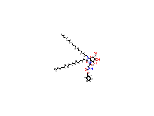 CCCCCCCCCCCCCCCCCCN(C(=O)CCCCCCCCCCCCCCCCC)[C@@H]1O[C@H](CO)[C@H](O)[C@H](O)[C@H]1NC(=O)CNC(=O)OCc1ccccc1